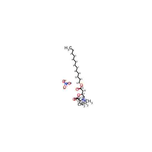 CCCCCCCCCCCCCOC(=O)CC(C[N+](C)(C)C)OC(=O)CC.O=[N+]([O-])[O-]